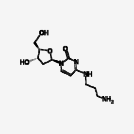 NCCCNc1ccn([C@H]2C[C@H](O)[C@@H](CO)O2)c(=O)n1